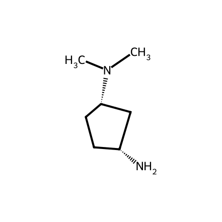 CN(C)[C@H]1CC[C@@H](N)C1